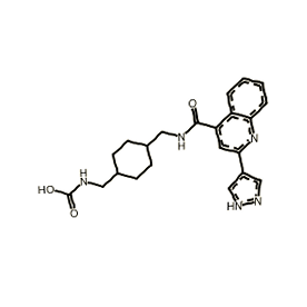 O=C(O)NCC1CCC(CNC(=O)c2cc(-c3cn[nH]c3)nc3ccccc23)CC1